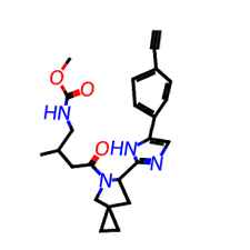 C#Cc1ccc(-c2cnc(C3CC4(CC4)CN3C(=O)CC(C)CNC(=O)OC)[nH]2)cc1